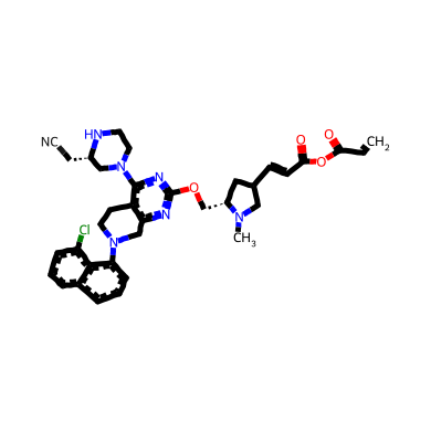 C=CC(=O)OC(=O)/C=C/C1C[C@@H](COc2nc3c(c(N4CCN[C@@H](CC#N)C4)n2)CCN(c2cccc4cccc(Cl)c24)C3)N(C)C1